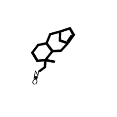 CC1(CN=O)CCCC2CC3CC=C(C3)CC21